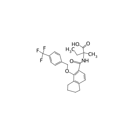 CCC(C)(NC(=O)c1ccc2c(c1OCc1ccc(C(F)(F)F)cc1)CCCC2)C(=O)O